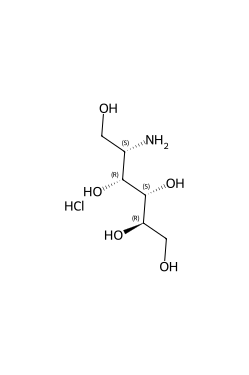 Cl.N[C@@H](CO)[C@@H](O)[C@H](O)[C@H](O)CO